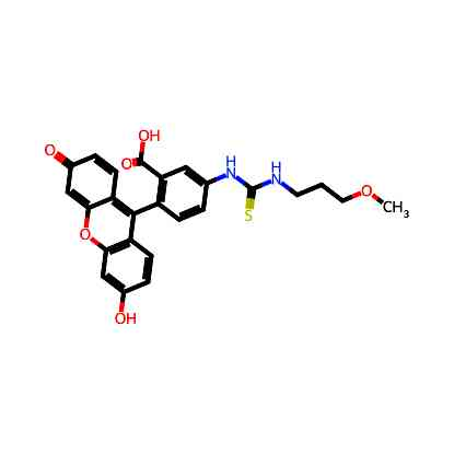 COCCCNC(=S)Nc1ccc(-c2c3ccc(=O)cc-3oc3cc(O)ccc23)c(C(=O)O)c1